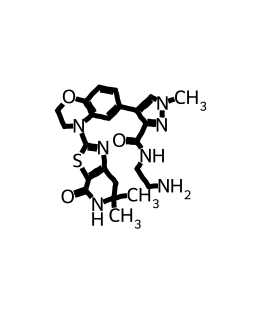 Cn1cc(-c2ccc3c(c2)N(c2nc4c(s2)C(=O)NC(C)(C)C4)CCO3)c(C(=O)NCCN)n1